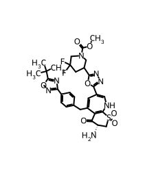 COC(=O)N1CC(c2nnc(C3=CNC4=C(C(=O)[C@@H](N)CS4(=O)=O)C(Cc4ccc(-c5noc(C(C)(C)C)n5)cc4)=C3)o2)CC(F)(F)C1